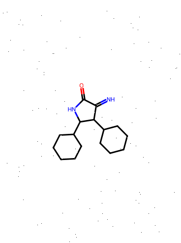 N=C1C(=O)NC(C2CCCCC2)C1C1CCCCC1